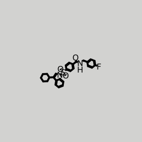 O=C(NCc1ccc(F)cc1)c1ccc(S(=O)(=O)n2cc(C3CCCCC3)c3ccccc32)cc1